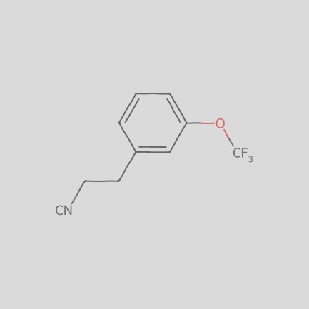 [C-]#[N+]CCc1cccc(OC(F)(F)F)c1